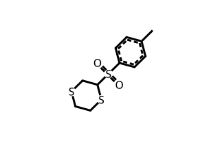 Cc1ccc(S(=O)(=O)C2CSCCS2)cc1